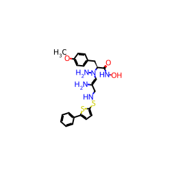 COc1ccc(C[C@@H](C(=O)NO)N(N)/C=C(\N)CNSc2ccc(-c3ccccc3)s2)cc1